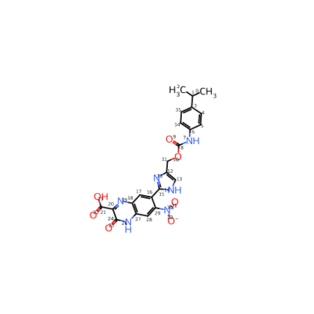 CC(C)c1ccc(NC(=O)OCc2c[nH]c(-c3cc4nc(C(=O)O)c(=O)[nH]c4cc3[N+](=O)[O-])n2)cc1